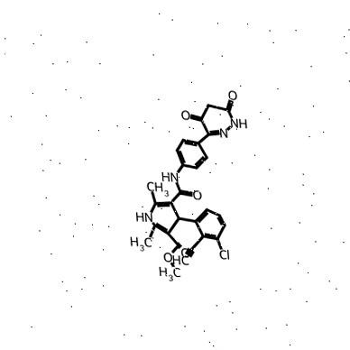 C#Cc1c(Cl)cccc1C1C(C(=O)Nc2ccc(C3=NNC(=O)CC3=O)cc2)=C(C)NC(C)=C1C(=O)OC